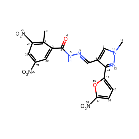 Cc1c(C(=O)NN=Cc2cn(C)nc2-c2ccc([N+](=O)[O-])o2)cc([N+](=O)[O-])cc1[N+](=O)[O-]